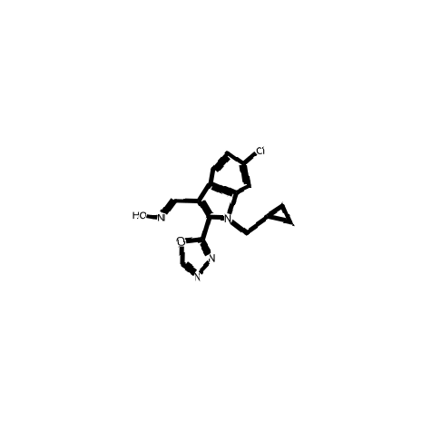 O/N=C/c1c(-c2nnco2)n(CC2CC2)c2cc(Cl)ccc12